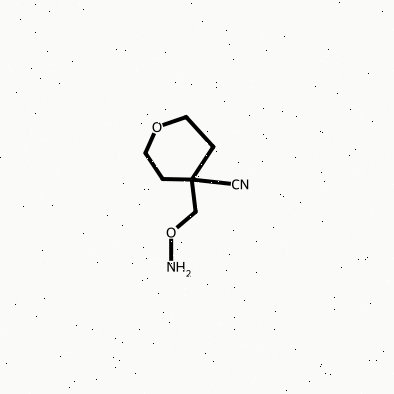 N#CC1(CON)CCOCC1